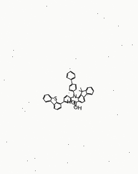 CC1(C)c2ccccc2-c2ccc(B(O)O)c(N(c3ccc(-c4ccccc4)cc3)c3ccc(-c4cccc5c4sc4ccccc45)cc3)c21